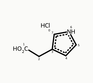 Cl.O=C(O)Cc1cc[nH]c1